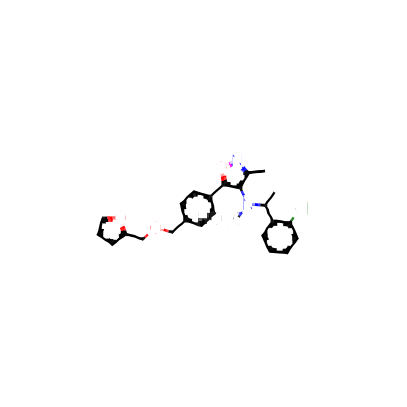 Cc1noc(-c2ccc(COCc3ccco3)cc2)c1N(C(=O)O)C(C)c1ccccc1Cl